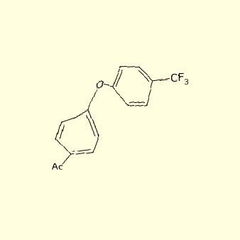 CC(=O)c1ccc(Oc2ccc(C(F)(F)F)cc2)cc1